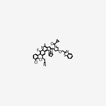 Cc1nc2c(F)c(-c3cccc(Cl)c3Cl)c(CCC#N)cc2c2c1cc(C1CC(OCc3nc4ccccc4s3)CN1C(=O)C1CC1)n2C1C2CNC1C2